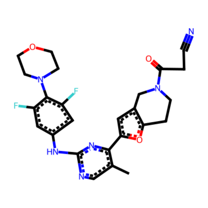 Cc1cnc(Nc2cc(F)c(N3CCOCC3)c(F)c2)nc1-c1cc2c(o1)CCN(C(=O)CC#N)C2